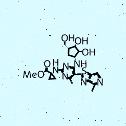 COC(=O)C1(Nc2nc(C)c(-c3nc4c(C)nccc4s3)c(N[C@@H]3C[C@H](CO)[C@@H](O)[C@H]3O)n2)CC1